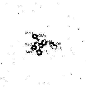 COc1ccc(CN(Cc2ccc(OC)cc2OC)c2nc(-c3cnccc3C)cc3cc(Nc4cc(C(C)O)n(C)n4)ncc23)c(OC)c1